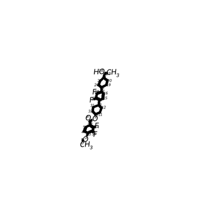 CCOc1ccc(C(=O)OC2CCC(c3ccc(C4CCC(C(C)O)CC4)c(F)c3F)CC2)c(F)c1F